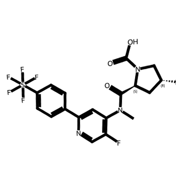 CN(C(=O)[C@@H]1C[C@@H](F)CN1C(=O)O)c1cc(-c2ccc(S(F)(F)(F)(F)F)cc2)ncc1F